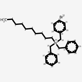 CCCCCCCCCC[N+](Cc1ccccc1)(Cc1ccccc1)Cc1ccccc1.[Br-]